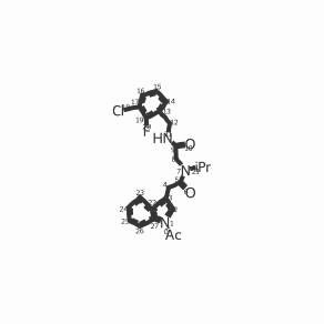 CC(=O)n1cc(CC(=O)N(CC(=O)NCc2cccc(Cl)c2F)C(C)C)c2ccccc21